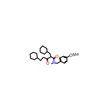 COc1ccc(CN(C)C(=O)C(CC2CCCCC2)C(=O)CCC2CCCCC2)cc1